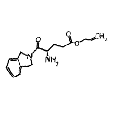 C=CCOC(=O)CC[C@@H](N)C(=O)N1Cc2ccccc2C1